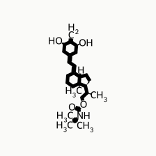 C=C1[C@H](O)CC(=C/C=C2\CCC[C@]3(C)[C@@H]([C@H](C)COC(=O)NC(C)(C)C)CC[C@@H]23)C[C@H]1O